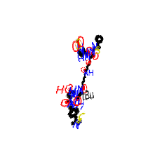 Cc1ncsc1-c1ccc(CNC(=O)[C@@H]2C[C@@H](O)CN2C(=O)[C@@H](NC(=O)CCCCCNC(=O)CCCOC[C@H](NC(=O)c2ccn(S(C)(=O)=O)c2)C(=O)Nc2nc(-c3ccccc3)cs2)C(C)(C)C)cc1